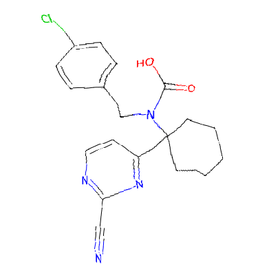 N#Cc1nccc(C2(N(Cc3ccc(Cl)cc3)C(=O)O)CCCCC2)n1